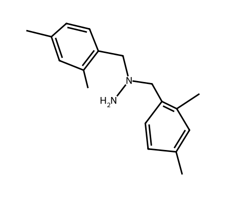 Cc1ccc(CN(N)Cc2ccc(C)cc2C)c(C)c1